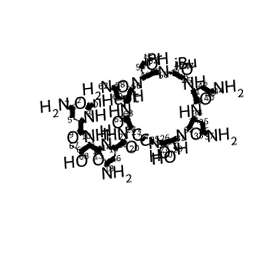 CCCCCCCC(=O)N[C@@H](CCN)C(=O)N[C@H](C(=O)N[C@@H](CCN)C(=O)N[C@H]1CCNC(=O)[C@H](CO)NC(=O)[C@H](CCN)NC(=O)[C@H](CCN)NC(=O)[C@H]([C@@H](C)CC)NC(=O)[C@@H](CC(C)C)NC(=O)[C@H](CCN)NC1=O)[C@@H](C)O